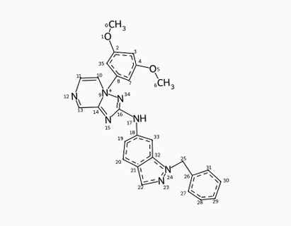 COc1cc(OC)cc([N+]23C=CN=CC2=NC(Nc2ccc4cnn(Cc5ccccc5)c4c2)=N3)c1